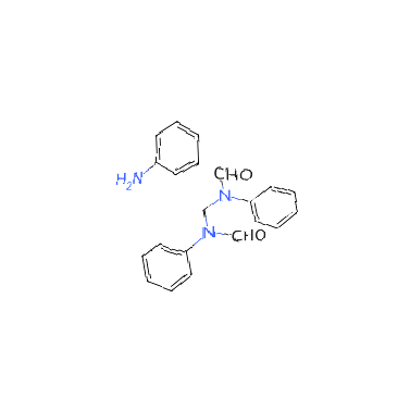 Nc1ccccc1.O=CN(CN(C=O)c1ccccc1)c1ccccc1